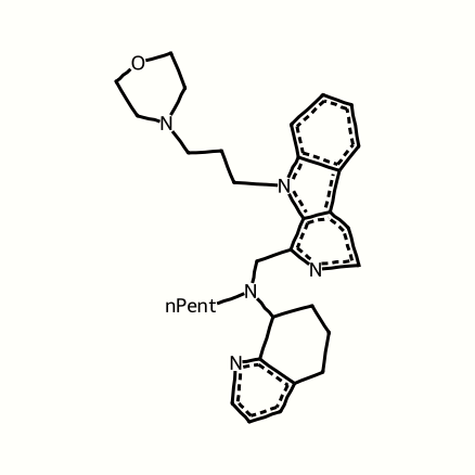 CCCCCN(Cc1nccc2c3ccccc3n(CCCN3CCOCC3)c12)C1CCCc2cccnc21